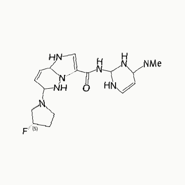 CNC1C=CNC(NC(=O)C2=CNC3C=CC(N4CC[C@H](F)C4)NN23)N1